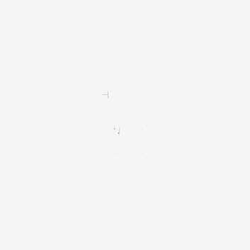 CC1CCN(S(C)(=O)=O)C1